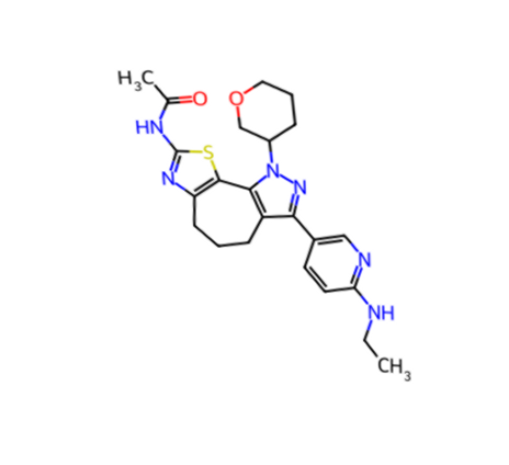 CCNc1ccc(-c2nn(C3CCCOC3)c3c2CCCc2nc(NC(C)=O)sc2-3)cn1